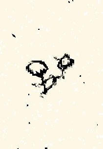 CC1(C2=CCOCC2)SC(N[C@H]2C[C@@H]3CCC2C3)=NC1=O